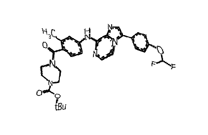 Cc1cc(Nc2nccn3c(-c4ccc(OC(F)F)cc4)cnc23)ccc1C(=O)N1CCN(C(=O)OC(C)(C)C)CC1